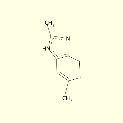 CC1=Cc2[nH]c(C)nc2CC1